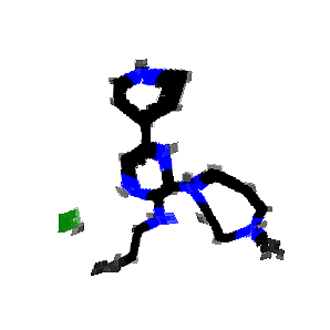 COCCNc1ncc(-c2ccncc2)nc1N1CCCN(C)CC1.Cl